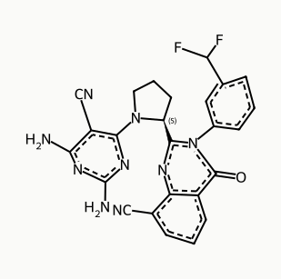 N#Cc1c(N)nc(N)nc1N1CCC[C@H]1c1nc2c(C#N)cccc2c(=O)n1-c1cccc(C(F)F)c1